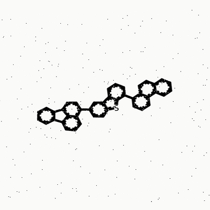 c1ccc2c(c1)-c1cccc3c(-c4ccc5sc6c(-c7cccc8c7ccc7ccccc78)cccc6c5c4)ccc-2c13